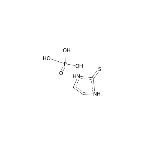 O=P(O)(O)O.S=c1[nH]cc[nH]1